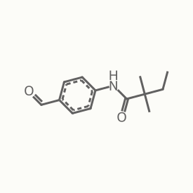 CCC(C)(C)C(=O)Nc1ccc(C=O)cc1